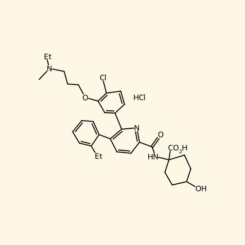 CCc1ccccc1-c1ccc(C(=O)NC2(C(=O)O)CCC(O)CC2)nc1-c1ccc(Cl)c(OCCCN(C)CC)c1.Cl